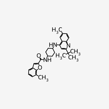 Cc1ccc2nc(C(C)(C)C)cc(NC3CCC(NC(=O)c4cc5cccc(C)c5o4)CC3)c2c1